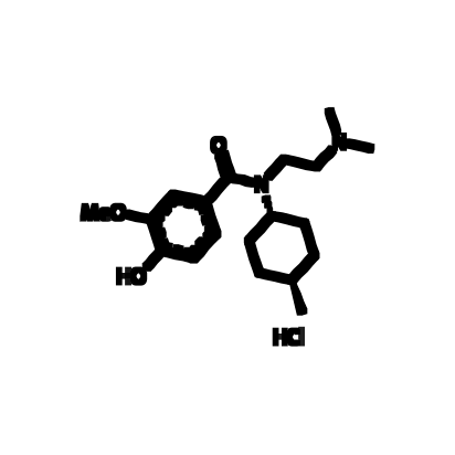 COc1cc(C(=O)N(CCN(C)C)[C@H]2CC[C@H](C)CC2)ccc1O.Cl